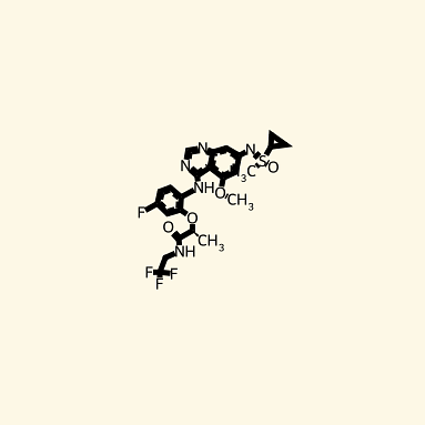 COc1cc(N=S(C)(=O)C2CC2)cc2ncnc(Nc3ccc(F)cc3O[C@H](C)C(=O)NCC(F)(F)F)c12